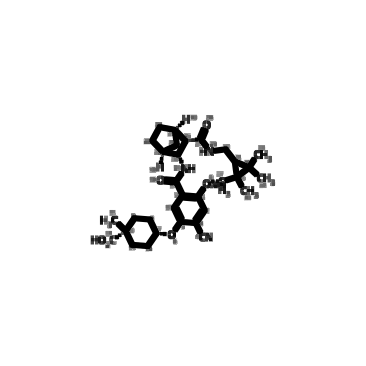 COc1cc(C#N)c(O[C@H]2CC[C@@](C)(C(=O)O)CC2)cc1C(=O)N[C@@H]1[C@H]2CC[C@H](C2)[C@@H]1C(=O)NCC1C(C)(C)C1(C)C